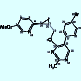 COc1ccc([C@H]2C[C@@H]2COc2nc(C)ncc2-c2ccc(Br)cc2)nc1